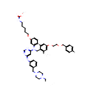 CCOC(=O)CN1CCN(Cc2cccc(Nc3cc(N(Cc4c(OC)cc(OCCOCc5ccc(C)cc5)cc4OC)c4cccc(OCCCCCNC(=O)OC(C)(C)C)c4)ncn3)c2)CC1